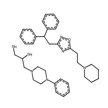 OCC(O)CN1CCN(c2ccccc2)CC1.c1ccc(C(Cc2noc(CCN3CCCCC3)n2)c2ccccc2)cc1